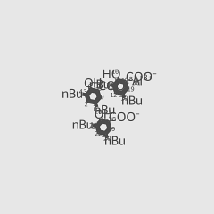 CCCCc1cc(CCCC)c(O)c(C(=O)[O-])c1.CCCCc1cc(CCCC)c(O)c(C(=O)[O-])c1.CCCCc1cc(CCCC)c(O)c(C(=O)[O-])c1.[Al+3]